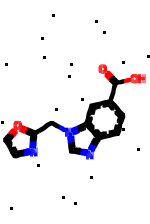 O=C(O)c1ccc2ncn(Cc3ncco3)c2c1